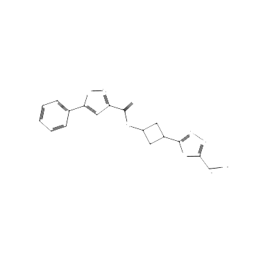 C[C@@H](O)c1nnc(C2CC(NC(=O)c3cc(-c4ccccc4)on3)C2)s1